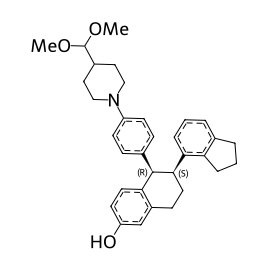 COC(OC)C1CCN(c2ccc([C@@H]3c4ccc(O)cc4CC[C@@H]3c3cccc4c3CCC4)cc2)CC1